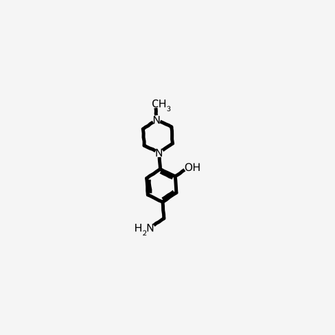 CN1CCN(c2ccc(CN)cc2O)CC1